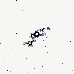 CC(C)(C)CC(=O)Nc1cc2c(cc1N)N(Cc1ccc(Cl)s1)CC2